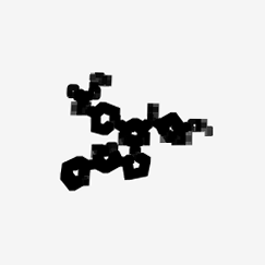 Cc1cc(Nc2cc(N3CCC(NC(=O)OC(C)(C)C)CC3)nc(N3CCCC3c3cc(-c4ccccn4)no3)n2)n[nH]1